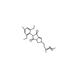 CCc1cc(C)cc(CC)c1C1C(=O)C2=CC(CCC(C)=NOC)CC2C1=O